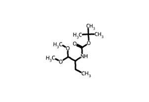 CCC(NC(=O)OC(C)(C)C)C(OC)OC